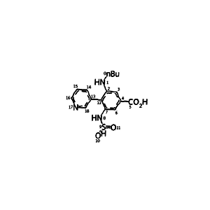 CCCCNc1cc(C(=O)O)cc(N[SH](=O)=O)c1-c1cccnc1